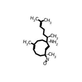 CC(C)=CCC[C@@H](C)[C@@]1(N)/C=C/[C@@](C)(N=O)CC/C=C(/C)CC1